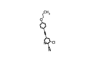 CCCOc1ccc(C#Cc2cnc(C#N)c(Cl)c2)cc1